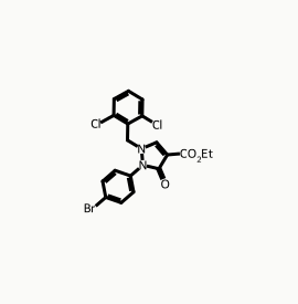 CCOC(=O)c1cn(Cc2c(Cl)cccc2Cl)n(-c2ccc(Br)cc2)c1=O